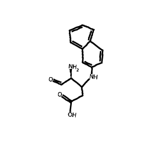 N[C@H](C=O)C(CC(=O)O)Nc1ccc2ccccc2c1